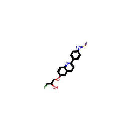 OC(CF)COc1ccc2nc(-c3ccc(NSI)cc3)ccc2c1